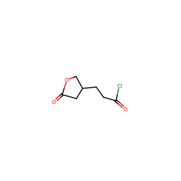 O=C(Cl)CCC1COC(=O)C1